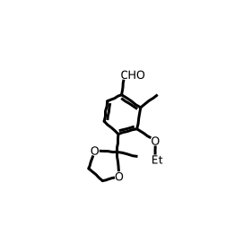 CCOc1c(C2(C)OCCO2)ccc(C=O)c1C